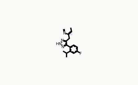 C=N/C(=C\C)Cc1n[nH]nc1-c1ccc(F)cc1C(C)C